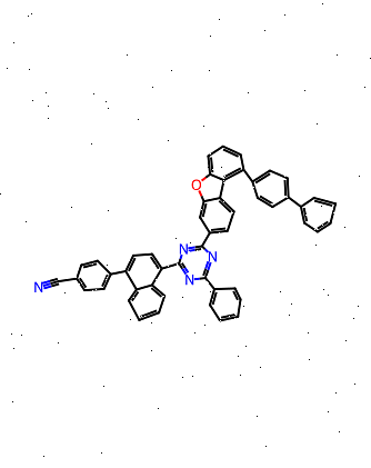 N#Cc1ccc(-c2ccc(-c3nc(-c4ccccc4)nc(-c4ccc5c(c4)oc4cccc(-c6ccc(-c7ccccc7)cc6)c45)n3)c3ccccc23)cc1